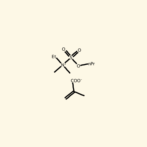 C=C(C)C(=O)[O-].CCCOS(=O)(=O)[N+](C)(C)CC